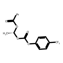 CC(C)C(=O)O[C@@H](C)OC(=O)Oc1ccc(C(F)(F)F)cc1